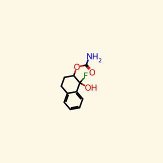 NC(=O)OC1CCc2ccccc2C1(O)F